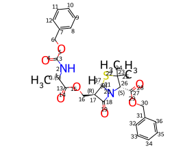 C[C@H](NC(=O)OCc1ccccc1)C(=O)OC[C@@H]1C(=O)N2[C@@H]1SC(C)(C)[C@@H]2C(=O)OCc1ccccc1